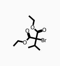 CCOC(=O)C(Br)(C(=O)OCC)C(C)C